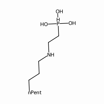 CCCCCCCCNCC[PH](O)(O)O